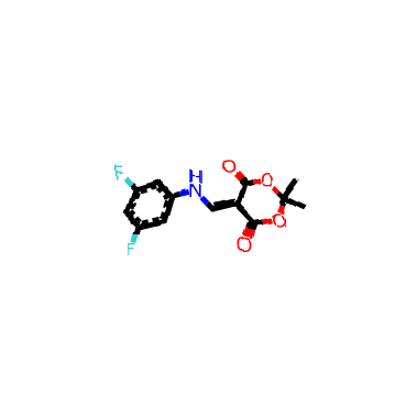 CC1(C)OC(=O)C(=CNc2cc(F)cc(F)c2)C(=O)O1